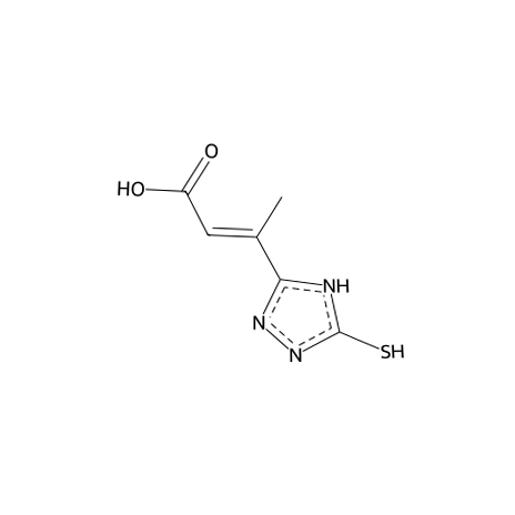 CC(=CC(=O)O)c1nnc(S)[nH]1